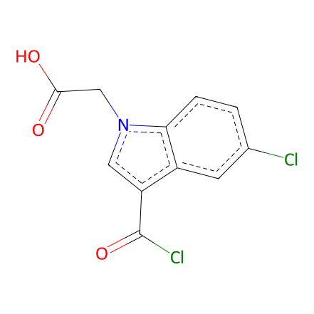 O=C(O)Cn1cc(C(=O)Cl)c2cc(Cl)ccc21